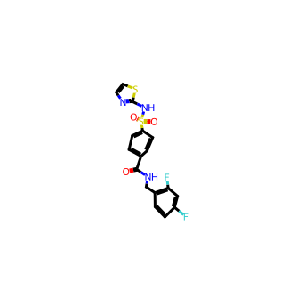 O=C(NCc1ccc(F)cc1F)c1ccc(S(=O)(=O)Nc2nccs2)cc1